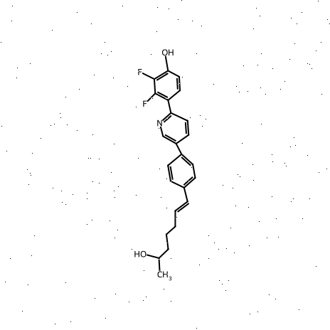 CC(O)CCCC=Cc1ccc(-c2ccc(-c3ccc(O)c(F)c3F)nc2)cc1